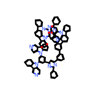 c1ccc(-c2nc(-c3cccc(-c4ccc5c(c4)c4ccc6c7ccccc7n(-c7ccccc7)c6c4n5-c4cccc(-n5c6ccccc6c6ccc7c8ccccc8n(-c8nc(-c9ccccc9)nc(-c9ccccc9)n8)c7c65)c4)c3)cc(-c3cc(-n4c5ccccc5c5cnccc54)cc(-n4c5ccccc5c5cnccc54)c3)n2)cc1